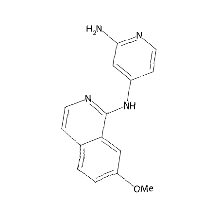 COc1ccc2ccnc(Nc3ccnc(N)c3)c2c1